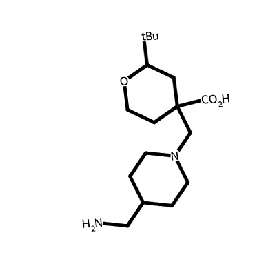 CC(C)(C)C1CC(CN2CCC(CN)CC2)(C(=O)O)CCO1